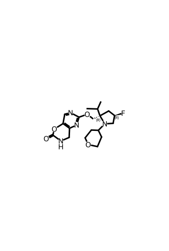 CC(C)[C@@]1(COc2ncc3c(n2)CNC(=O)O3)C[C@@H](F)CN1C1CCOCC1